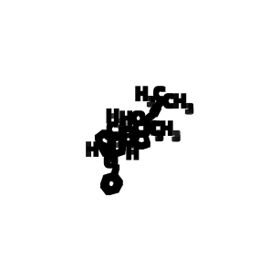 CC(C)C#C[C@@H](O)[C@@H](C)[C@H]1CC[C@H]2[C@@H]3C[C@@H](OCc4ccccc4)[C@]45C[C@@H]4CC[C@]5(C)[C@H]3CC[C@]12C